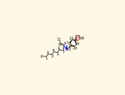 CCCCCCCCN(CCC)Cc1ccc(OC)cc1